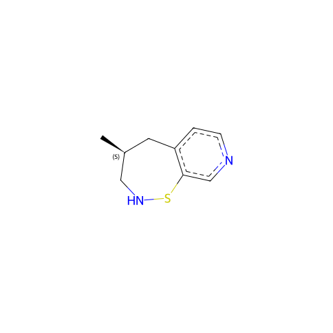 C[C@@H]1CNSc2cnccc2C1